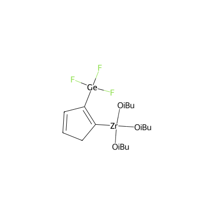 CC(C)C[O][Zr]([O]CC(C)C)([O]CC(C)C)[C]1=[C]([Ge]([F])([F])[F])C=CC1